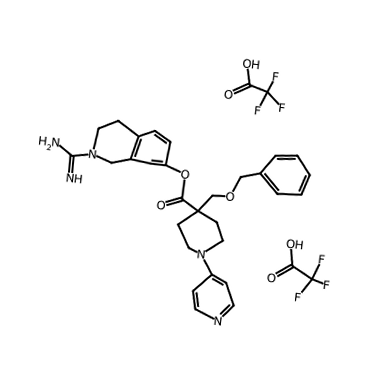 N=C(N)N1CCc2ccc(OC(=O)C3(COCc4ccccc4)CCN(c4ccncc4)CC3)cc2C1.O=C(O)C(F)(F)F.O=C(O)C(F)(F)F